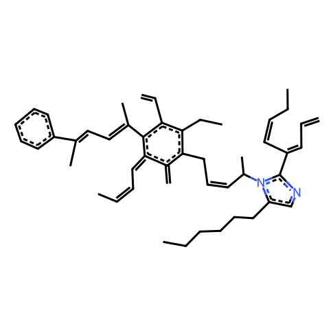 C=C/C=C(\C=C/CC)c1ncc(CCCCCC)n1C(C)/C=C\Cc1c(CC)c(C=C)c(/C(C)=C/C=C(\C)c2ccccc2)/c(=C/C=C\C)c1=C